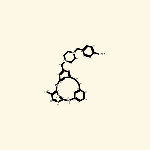 COc1ccc(CN2CCN(Cc3cc4cc(c3)Nc3nc(ncc3Cl)Nc3cccc(c3)CC4)CC2)cc1